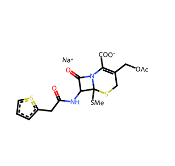 CSC12SCC(COC(C)=O)=C(C(=O)[O-])N1C(=O)C2NC(=O)Cc1cccs1.[Na+]